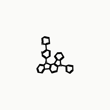 c1ccc(-n2c3ccccc3c3c2ccc2c4ccccc4n(-c4ccc(-c5ccccn5)nc4)c23)cc1